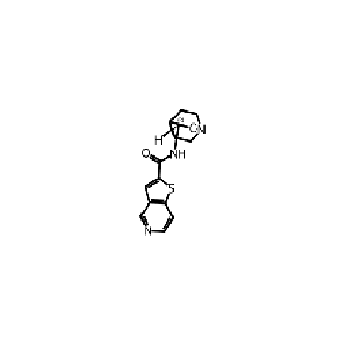 O=C(N[C@H]1CN2CCC1CC2)c1cc2cnccc2s1